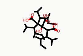 CCC(C)C(C(C)C)C(C(=O)O)C(O)(C(=O)O)C(C(=O)O)(C(C(C)C)C(C)CC)C(C(C)C)C(C)CC